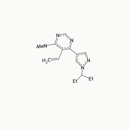 C=Cc1c(NC)ncnc1-c1cnn(C(CC)CC)c1